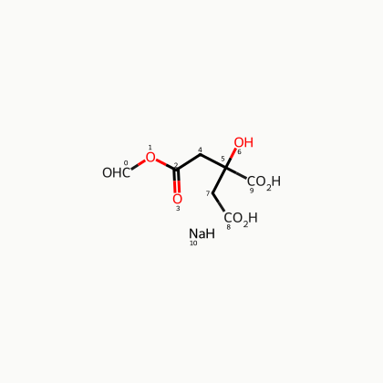 O=COC(=O)CC(O)(CC(=O)O)C(=O)O.[NaH]